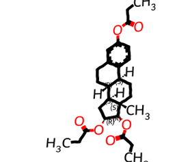 CCC(=O)Oc1ccc2c(c1)CC[C@@H]1[C@@H]2CC[C@@]2(C)[C@H]1C[C@@H](OC(=O)CC)[C@@H]2OC(=O)CC